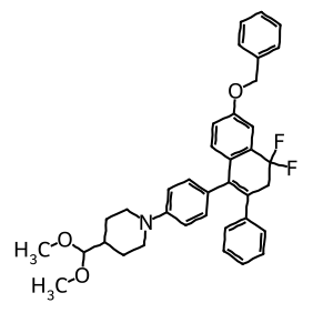 COC(OC)C1CCN(c2ccc(C3=C(c4ccccc4)CC(F)(F)c4cc(OCc5ccccc5)ccc43)cc2)CC1